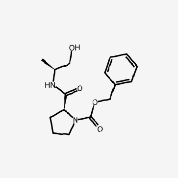 C[C@@H](CO)NC(=O)[C@@H]1CCCN1C(=O)OCc1ccccc1